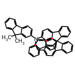 CC1(C)c2ccccc2-c2ccc(N(c3ccc4c(c3)C3(c5ccccc5-4)c4ccccc4-c4ccc5ccccc5c43)c3ccccc3-c3ccccc3)cc21